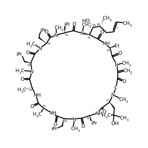 C=C1C(=O)CN(C)[C@@H](CC(C)(C)O)C(=O)N[C@@H](C(C)C)C(=O)N(C)[C@@H](CC(C)C)C(=O)N[C@@H](C)C(=O)N[C@H](C)C(=O)N(C)[C@@H](CC(C)C)C(=O)N(C)[C@@H](CC(C)C)C(=O)N(C)[C@@H](C(C)C)C(=O)N(C)[C@@H]([C@H](O)[C@H](C)C/C=C/C)C(=O)N[C@@H](CC)C(=O)N1C